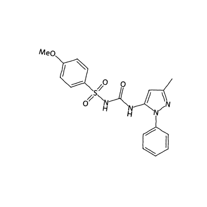 COc1ccc(S(=O)(=O)NC(=O)Nc2cc(C)nn2-c2ccccc2)cc1